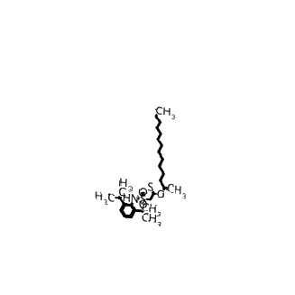 CCCCCCCCCCCCC(C)OC(=S)CS(=O)(=O)Nc1c(C(C)C)cccc1C(C)C